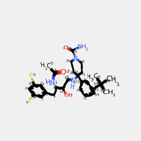 CC(=O)NC(Cc1cc(F)cc(F)c1)C(O)CNC1(c2cccc(C(C)(C)C)c2)CCN(C(N)=O)CC1